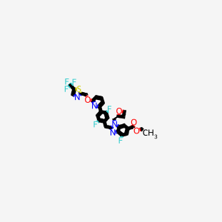 CCOC(=O)c1cc(F)c2nc(Cc3cc(F)c(-c4cccc(OCc5ncc(C(F)(F)F)s5)n4)cc3F)n(C[C@@H]3CCO3)c2c1